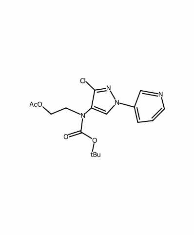 CC(=O)OCCN(C(=O)OC(C)(C)C)c1cn(-c2cccnc2)nc1Cl